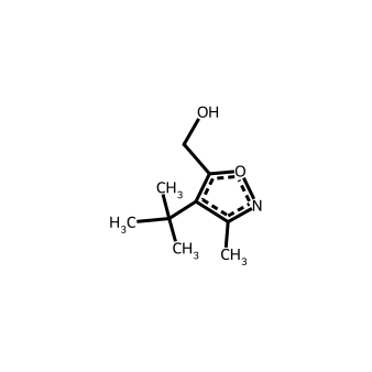 Cc1noc(CO)c1C(C)(C)C